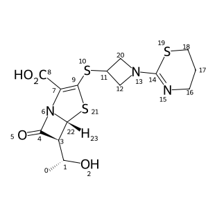 C[C@@H](O)[C@H]1C(=O)N2C(C(=O)O)=C(SC3CN(C4=NCCCS4)C3)S[C@H]12